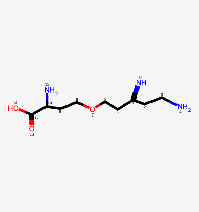 N=C(CCN)CCOCCC(N)C(=O)O